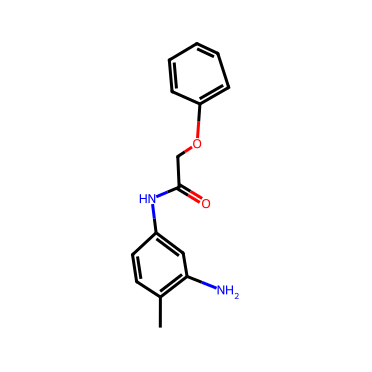 Cc1ccc(NC(=O)COc2ccccc2)cc1N